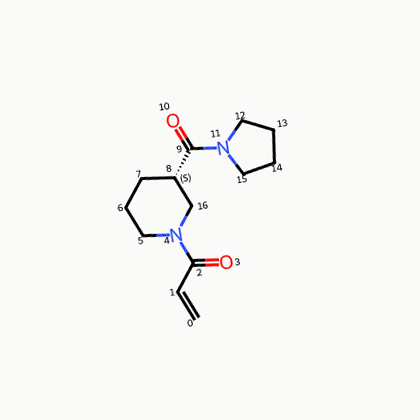 C=CC(=O)N1CCC[C@H](C(=O)N2CCCC2)C1